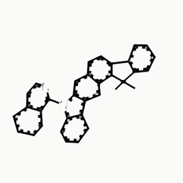 CC1(C)c2ccccc2-c2ccc3cc4c(cc3c21)c1ccccc1n4-c1nccc2ccccc12